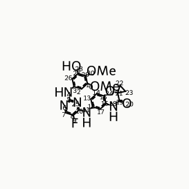 COc1cc(Nc2ncc(F)c(Nc3ccc4c(c3)NC(=O)C3(CC3)O4)n2)cc(O)c1OC